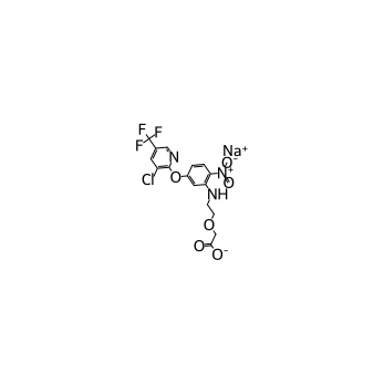 O=C([O-])COCCNc1cc(Oc2ncc(C(F)(F)F)cc2Cl)ccc1[N+](=O)[O-].[Na+]